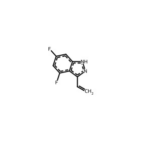 C=Cc1n[nH]c2cc(F)cc(F)c12